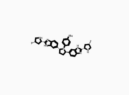 CC(C)(C)c1ccc(N2[C@@H](c3ccc4nc([C@@H]5C[C@H](F)CN5)[nH]c4c3)CC[C@@H]2c2ccc3nc([C@@H]4C[C@H](F)CN4)[nH]c3c2)cc1